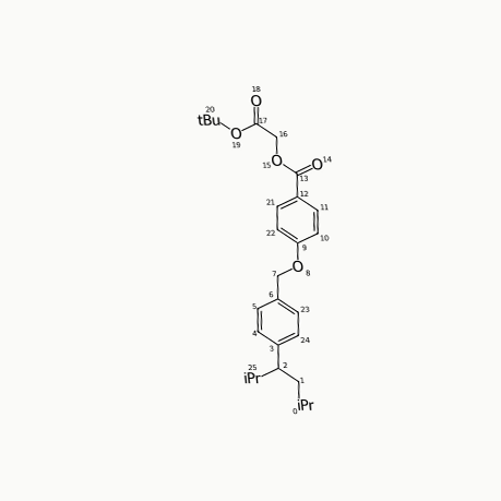 CC(C)CC(c1ccc(COc2ccc(C(=O)OCC(=O)OC(C)(C)C)cc2)cc1)C(C)C